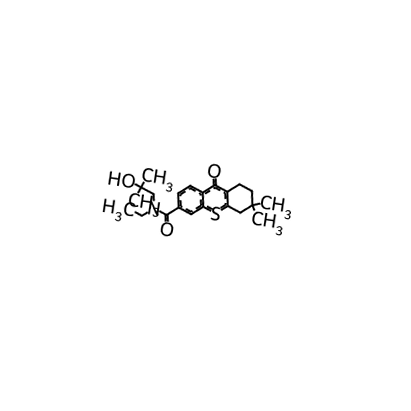 CCN(CC(C)(C)O)C(=O)c1ccc2c(=O)c3c(sc2c1)CC(C)(C)CC3